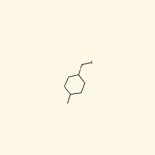 CC1CCC(CI)CC1